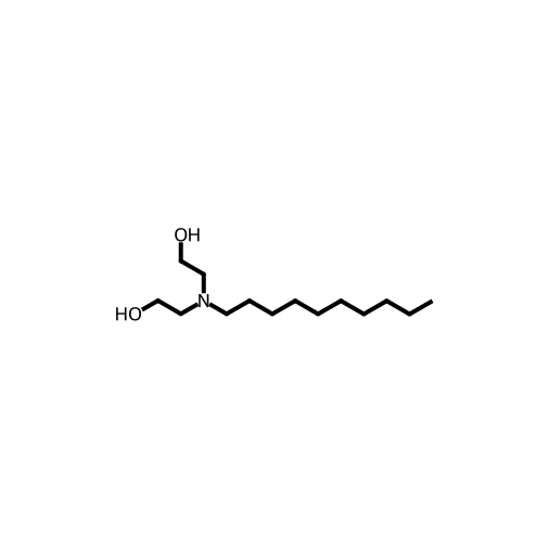 CCCCCCCCCCN(CCO)CCO